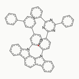 c1ccc(-c2cccc(-c3cccc(-n4c5ccccc5c5ccc6c7ccccc7n(-c7ccc(-c8nc(-c9ccccc9)nc(-c9ccccc9)n8)cc7)c6c54)c3)c2)cc1